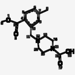 COC(=O)c1ccc(C)cc1CN1CCN(C(=O)O)CC1